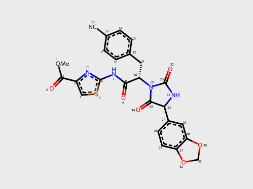 COC(=O)c1csc(NC(=O)[C@H](Cc2ccc(C#N)cc2)N2C(=O)NC(c3ccc4c(c3)OCO4)C2=O)n1